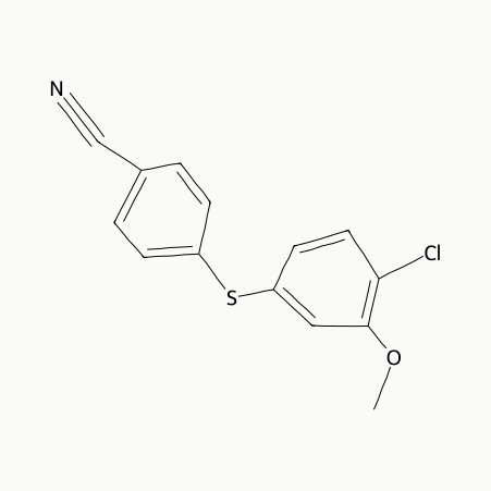 COc1cc(Sc2ccc(C#N)cc2)ccc1Cl